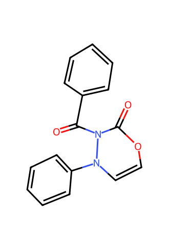 O=C1OC=CN(c2ccccc2)N1C(=O)c1ccccc1